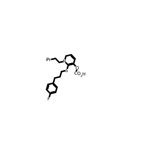 CC(C)CCN1CC=CC(OC(=O)O)=C1SCCCc1ccc(F)cc1